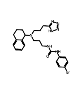 O=C(NCCCN(CCCc1nnn[nH]1)C1CCCc2ccccc21)Nc1ccc(Br)cc1